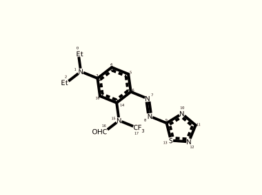 CCN(CC)c1ccc(N=Nc2ncns2)c(N(C=O)C(F)(F)F)c1